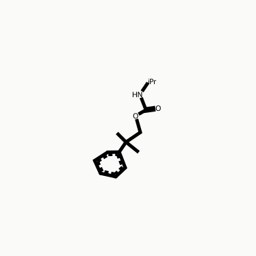 CC(C)NC(=O)OCC(C)(C)c1ccccc1